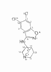 Clc1cc2onc(NC3CN4CCC3CC4)c2cc1Cl